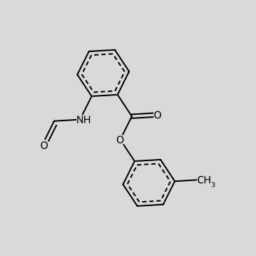 Cc1cccc(OC(=O)c2ccccc2NC=O)c1